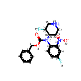 O=C(OCc1ccccc1)N(c1ccc(F)cc1[N+](=O)[O-])[C@@H]1CCNC[C@@H]1F